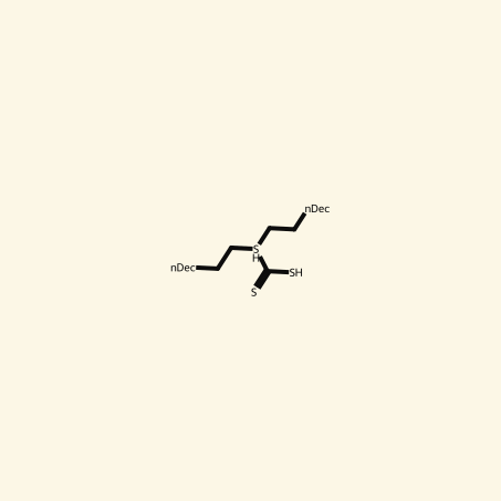 CCCCCCCCCCCC[SH](CCCCCCCCCCCC)C(=S)S